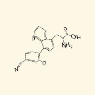 N#Cc1ccc(-c2ccc(CC(N)C(=O)O)c3cccnc23)c(Cl)c1